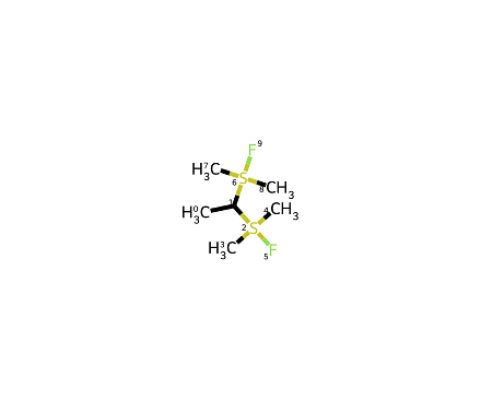 CC(S(C)(C)F)S(C)(C)F